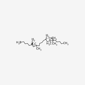 BCCCCC(=C)CC(C)(C)CCCCC(=C)CC(C)(C)C(C)(C)CCCCC